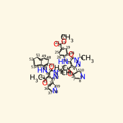 CCn1nc(-c2cccnc2)c(C(C)=O)c(Nc2ccc(C(=O)OC)cc2)c1=O.CCn1nc(-c2cccnc2)c(C(C)=O)c(Nc2cccc3ccccc23)c1=O